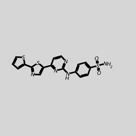 NS(=O)(=O)c1ccc(Nc2nccc(-c3cnc(-c4cccs4)s3)n2)cc1